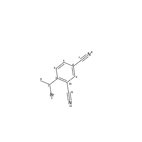 CC(Br)c1ccc(C#N)cc1C#N